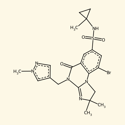 Cn1cc(CN2C(=O)c3cc(S(=O)(=O)NC4(C)CC4)cc(Br)c3N3CC(C)(C)N=C23)cn1